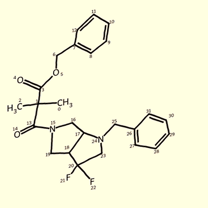 CC(C)(C(=O)OCc1ccccc1)C(=O)N1CC2C(C1)C(F)(F)CN2Cc1ccccc1